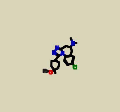 CCOC1(C)CCC(c2nnc3n2-c2ccc(Cl)cc2CC(N(C)C)C3)CC1